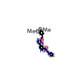 COc1ccc(CCOc2nccc(-c3cccc(C(=O)NCCN4CCCC4)c3)n2)cc1OC